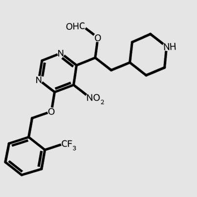 O=COC(CC1CCNCC1)c1ncnc(OCc2ccccc2C(F)(F)F)c1[N+](=O)[O-]